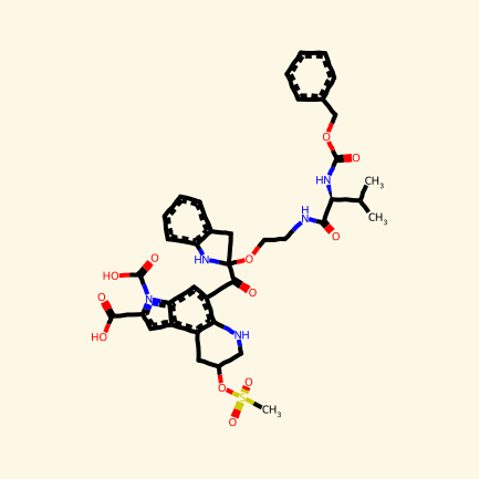 CC(C)[C@H](NC(=O)OCc1ccccc1)C(=O)NCCOC1(C(=O)c2cc3c(cc(C(=O)O)n3C(=O)O)c3c2NCC(OS(C)(=O)=O)C3)Cc2ccccc2N1